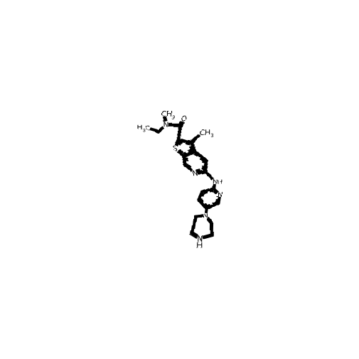 CCN(C)C(=O)c1sc2cnc(Nc3ccc(N4CCNCC4)cn3)cc2c1C